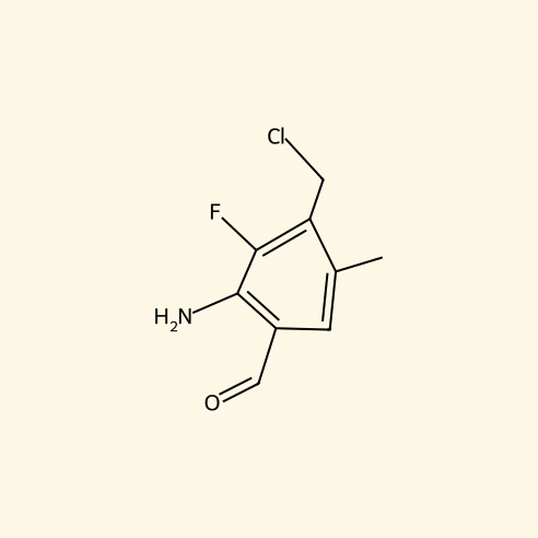 Cc1cc(C=O)c(N)c(F)c1CCl